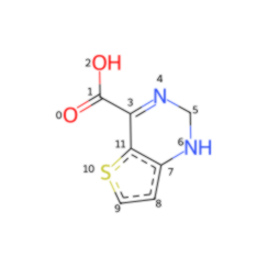 O=C(O)C1=NCNc2ccsc21